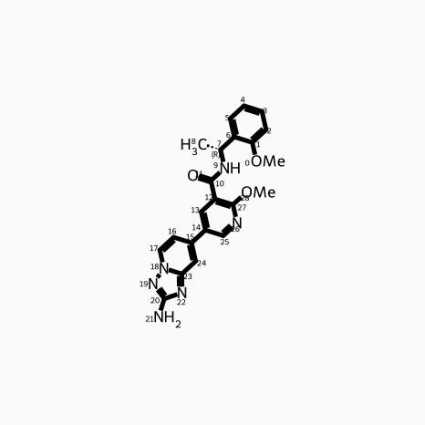 COc1ccccc1[C@@H](C)NC(=O)c1cc(-c2ccn3nc(N)nc3c2)cnc1OC